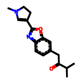 CC(C)C(=O)Cc1ccc2nc(C3=CN(C)CC3)oc2c1